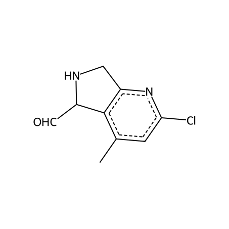 Cc1cc(Cl)nc2c1C(C=O)NC2